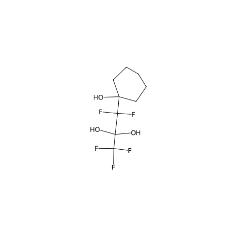 OC1(C(F)(F)C(O)(O)C(F)(F)F)CCCCC1